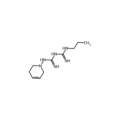 CCCNC(=N)NC(=N)NN1CC=CCC1